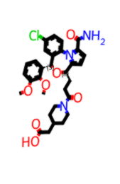 COc1cccc([C@H]2O[C@H](CCC(=O)N3CCC(CC(=O)O)CC3)c3ccc(C(N)=O)n3-c3ccc(Cl)cc32)c1OC